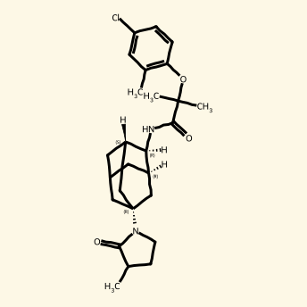 Cc1cc(Cl)ccc1OC(C)(C)C(=O)N[C@H]1[C@@H]2CC3C[C@H]1C[C@](N1CCC(C)C1=O)(C3)C2